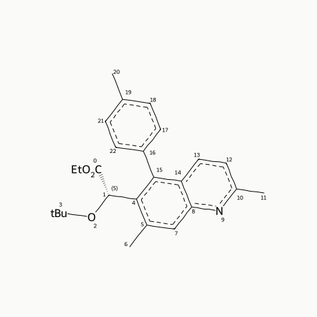 CCOC(=O)[C@@H](OC(C)(C)C)c1c(C)cc2nc(C)ccc2c1-c1ccc(C)cc1